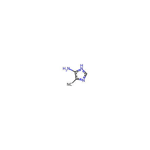 N#Cc1nc[nH]c1N